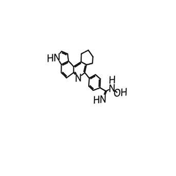 N=C(NO)c1ccc(-c2nc3ccc4[nH]ccc4c3c3c2CCCC3)cc1